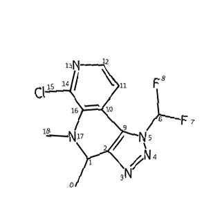 CC1c2nnn(C(F)F)c2-c2ccnc(Cl)c2N1C